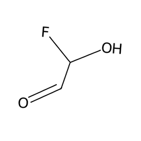 O=CC(O)F